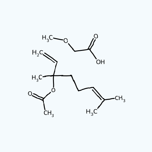 C=CC(C)(CCC=C(C)C)OC(C)=O.COCC(=O)O